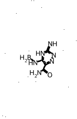 BNc1[nH]c(=N)nnc1C(N)=O